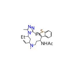 C=CC(CC(CC)n1c(C)nnc1C(C)C)N(C)CCC(NC(C)=O)c1csc2ccccc12